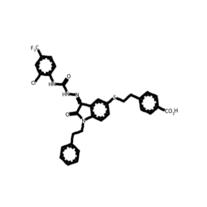 O=C(NN=C1C(=O)N(CCc2ccccc2)c2ccc(SCCc3ccc(C(=O)O)cc3)cc21)Nc1ccc(C(F)(F)F)cc1Cl